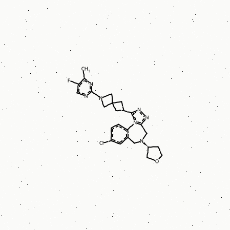 Cc1nc(N2CC3(CC(c4nnc5n4-c4ccc(Cl)cc4CN([C@H]4CCOC4)C5)C3)C2)ncc1F